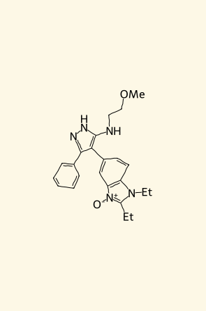 CCc1n(CC)c2ccc(-c3c(-c4ccccc4)n[nH]c3NCCOC)cc2[n+]1[O-]